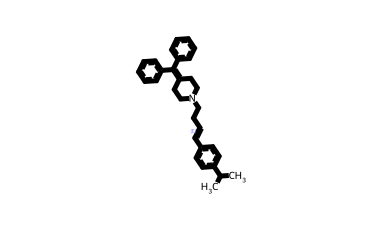 CC(C)c1ccc(/C=C/CCN2CCC(=C(c3ccccc3)c3ccccc3)CC2)cc1